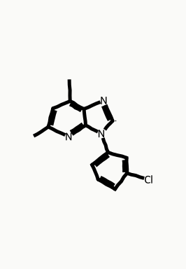 Cc1cc(C)c2n[c]n(-c3cccc(Cl)c3)c2n1